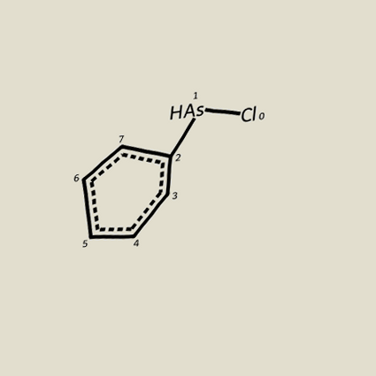 Cl[AsH]c1ccccc1